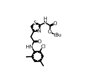 Cc1cc(C)c(NC(=O)Cc2csc(NC(=O)OC(C)(C)C)n2)c(Cl)c1